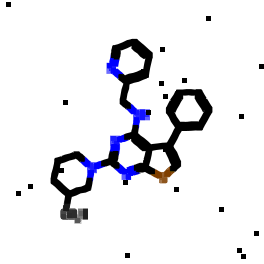 O=C(O)C1CCCN(c2nc(NCc3ccccn3)c3c(-c4ccccc4)csc3n2)C1